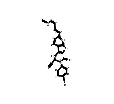 C#CC(Nc1csc2nc(/C=C/C=C\N=C)ccc12)N(C=O)c1ccc(F)cc1